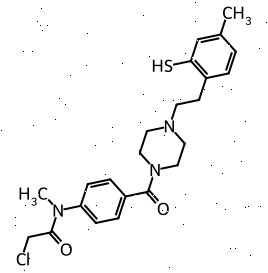 Cc1ccc(CCN2CCN(C(=O)c3ccc(N(C)C(=O)CCl)cc3)CC2)c(S)c1